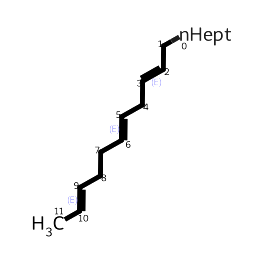 [CH2]CCCCCCC/C=C/C/C=C/CC/C=C/C